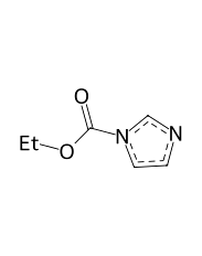 CCOC(=O)n1ccnc1